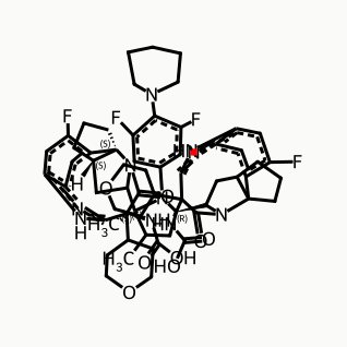 CC1C[C@H](C2CC3CCCC34c3cc5nc([nH]c5cc3F)C(NC(=O)O)(C3CCOCC3)C(=O)N24)N(c2cc(F)c(N3CCCCC3)c(F)c2)[C@]1(C)C1C[C@@H]2CCC[C@@]23c2cc4nc([nH]c4cc2F)[C@@](NC(=O)O)(C2CCOCC2)C(=O)N13